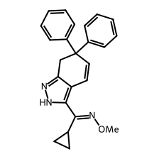 CON=C(c1[nH]nc2c1C=CC(c1ccccc1)(c1ccccc1)C2)C1CC1